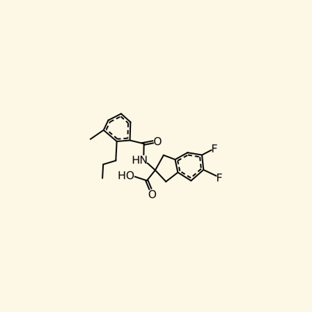 CCCc1c(C)cccc1C(=O)NC1(C(=O)O)Cc2cc(F)c(F)cc2C1